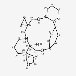 C1CCC2C3CCC(CC3)OC[C@@H]3N(CCC[C@@]34COCCN4)CC3(CC3)COC2C1